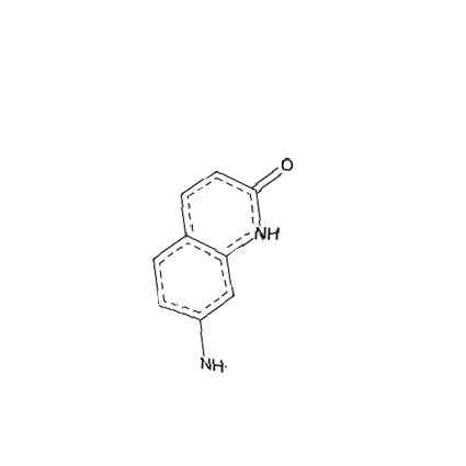 [NH]c1ccc2ccc(=O)[nH]c2c1